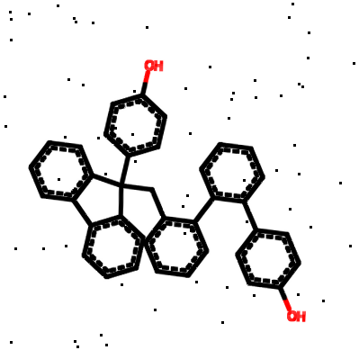 Oc1ccc(-c2ccccc2-c2ccccc2CC2(c3ccc(O)cc3)c3ccccc3-c3ccccc32)cc1